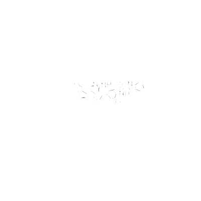 COc1cc(-c2csc3c(-c4ccsc4C=O)cnc(N)c23)ccc1NC(=O)c1cc2ccccc2n1C